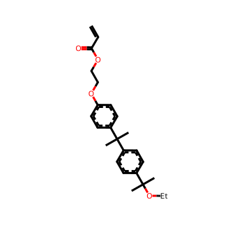 C=CC(=O)OCCOc1ccc(C(C)(C)c2ccc(C(C)(C)OCC)cc2)cc1